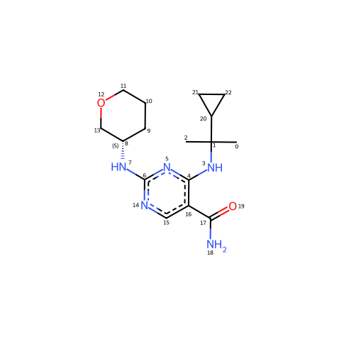 CC(C)(Nc1nc(N[C@H]2CCCOC2)ncc1C(N)=O)C1CC1